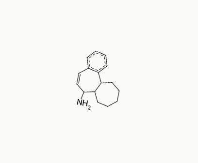 NC1C=Cc2ccccc2C2CCCCCC12